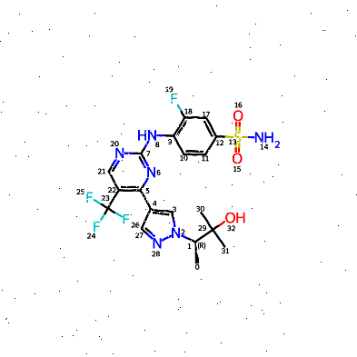 C[C@@H](n1cc(-c2nc(Nc3ccc(S(N)(=O)=O)cc3F)ncc2C(F)(F)F)cn1)C(C)(C)O